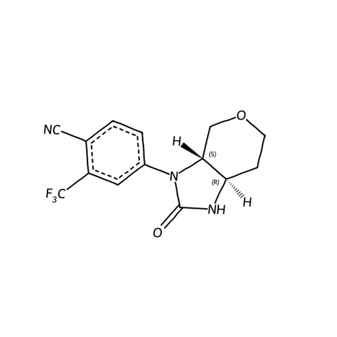 N#Cc1ccc(N2C(=O)N[C@@H]3CCOC[C@H]32)cc1C(F)(F)F